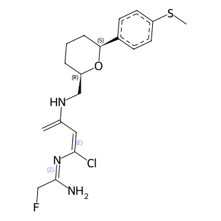 C=C(/C=C(Cl)\N=C(/N)CF)NC[C@H]1CCC[C@@H](c2ccc(SC)cc2)O1